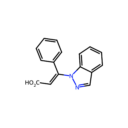 O=C(O)C=C(c1ccccc1)n1ncc2ccccc21